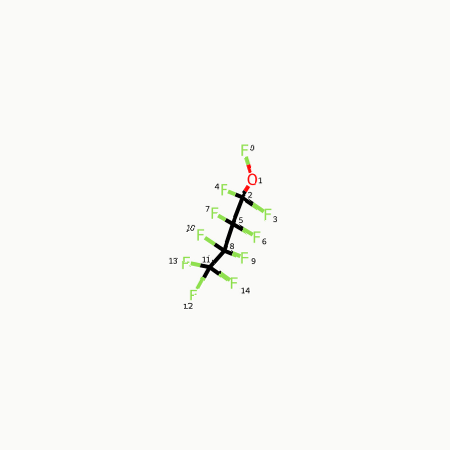 FOC(F)(F)C(F)(F)C(F)(F)C(F)(F)F